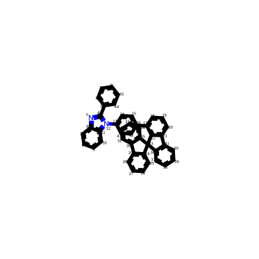 c1ccc(-c2nc3ccccc3n2-c2ccc(-c3cccc4c3C3(c5ccccc5-c5ccccc53)c3ccccc3-4)cc2)cc1